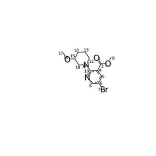 COC(=O)c1cc(Br)cnc1N1CCCC(OC)C1